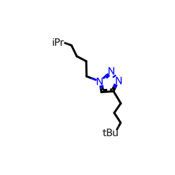 CC(C)CCCCn1cc(CCCC(C)(C)C)nn1